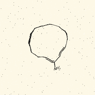 NC1=C\CCCCCCCCCC/C=C\1